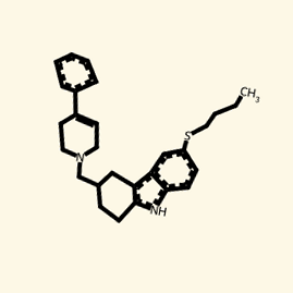 CCCCSc1ccc2[nH]c3c(c2c1)CC(CN1CC=C(c2ccccc2)CC1)CC3